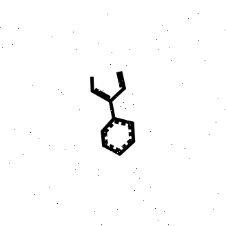 C=CC(=CC)c1ccccc1